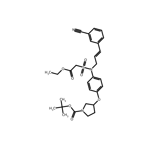 CCOC(=O)CS(=O)(=O)N(C/C=C/c1cccc(C#N)c1)c1ccc(OC2CCN(C(=O)OC(C)(C)C)C2)cc1